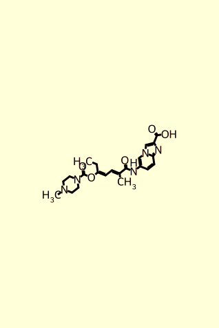 CC/C(=C\C=C(/C)C(=O)Nc1ccc2nc(C(=O)O)cn2c1)OC(=O)N1CCN(C)CC1